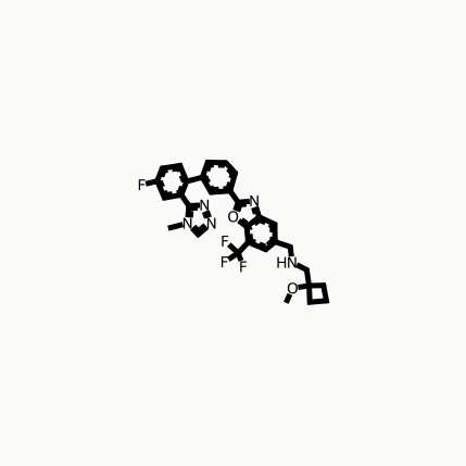 COC1(CNCc2cc(C(F)(F)F)c3oc(-c4cccc(-c5ccc(F)cc5-c5nncn5C)c4)nc3c2)CCC1